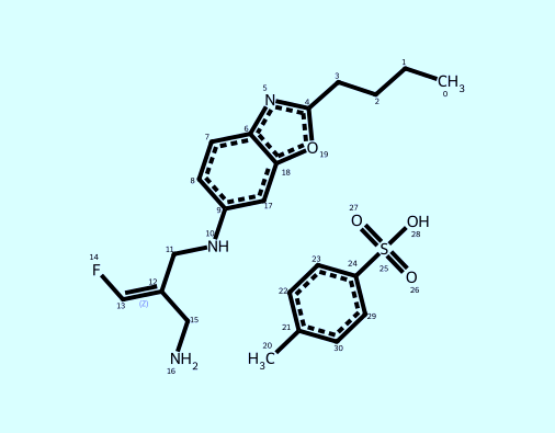 CCCCc1nc2ccc(NC/C(=C\F)CN)cc2o1.Cc1ccc(S(=O)(=O)O)cc1